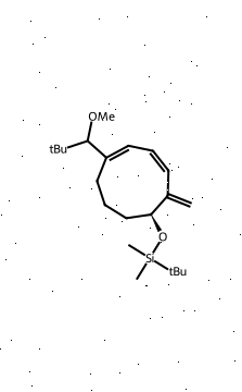 C=C1/C=C\C=C(\C(OC)C(C)(C)C)CCC[C@@H]1O[Si](C)(C)C(C)(C)C